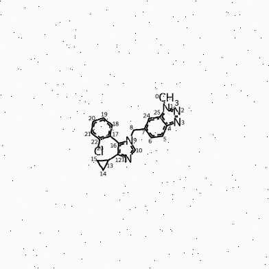 Cn1nnc2ccc(Cn3cnc(C4CC4)c3-c3ccccc3Cl)cc21